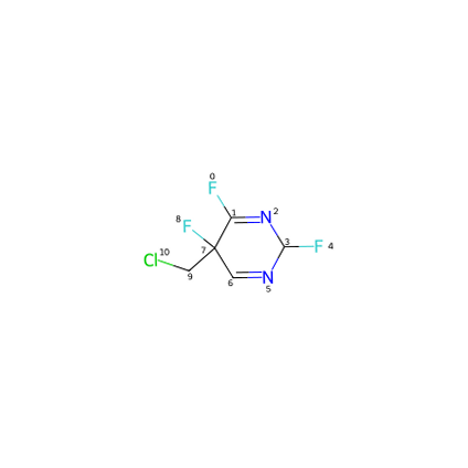 FC1=NC(F)N=CC1(F)CCl